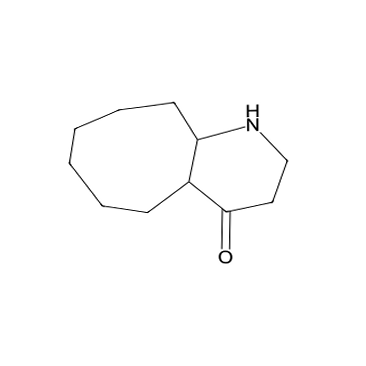 O=C1CCNC2CCCCCCC12